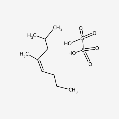 CCCC=C(C)CC(C)C.O=S(=O)(O)S(=O)(=O)O